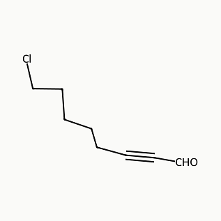 O=CC#CCCCCCCl